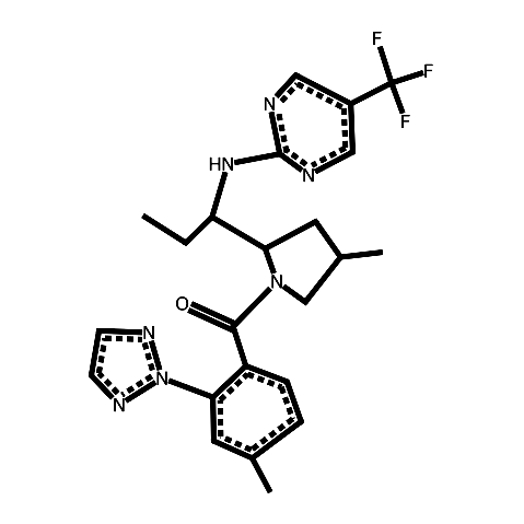 CCC(Nc1ncc(C(F)(F)F)cn1)C1CC(C)CN1C(=O)c1ccc(C)cc1-n1nccn1